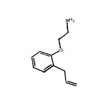 C=CCc1ccccc1OCCN